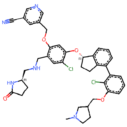 CN1CCC(COc2cccc(-c3cccc4c3CC[C@@H]4Oc3cc(OCc4cncc(C#N)c4)c(CNC[C@H]4CCC(=O)N4)cc3Cl)c2Cl)C1